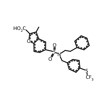 Cc1c(C(=O)O)oc2ccc(S(=O)(=O)N(CCc3ccccc3)Cc3ccc(SC(F)(F)F)cc3)cc12